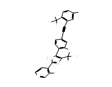 CC1(C)Oc2cc(C#Cc3cc(F)ccc3C(F)(F)F)ccc2-c2[nH]c(-c3ccncc3Cl)nc21